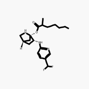 CCCCCC(C)C(=O)O[C@]12C[C@@H](CN1)C[C@H]2Nc1ccc(C(F)F)cn1